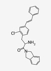 NC(Cc1ccc(C=Cc2ccccc2)cc1Cl)C(=O)N1Cc2ccccc2C1